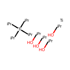 CC(C)O.CC(C)O.CC(C)O.CC(C)O.C[CH](C)[Ti]([CH](C)C)([CH](C)C)[CH](C)C.[Ti]